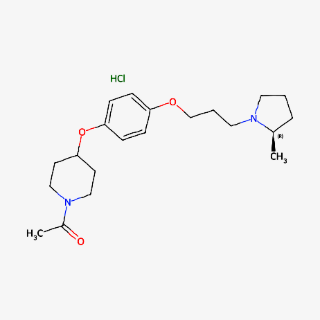 CC(=O)N1CCC(Oc2ccc(OCCCN3CCC[C@H]3C)cc2)CC1.Cl